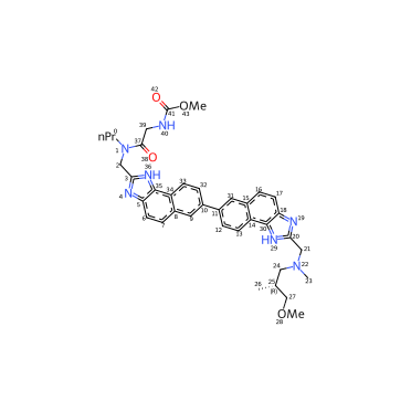 CCCN(Cc1nc2ccc3cc(-c4ccc5c(ccc6nc(CN(C)C[C@@H](C)COC)[nH]c65)c4)ccc3c2[nH]1)C(=O)CNC(=O)OC